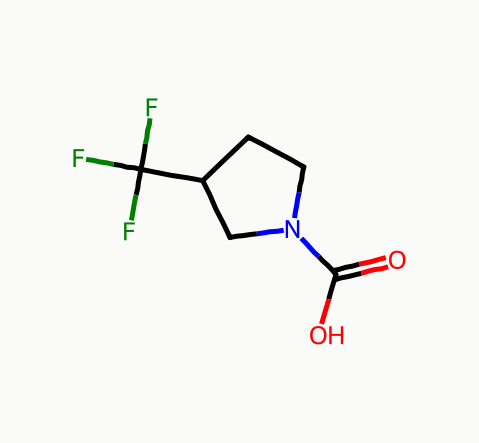 O=C(O)N1CCC(C(F)(F)F)C1